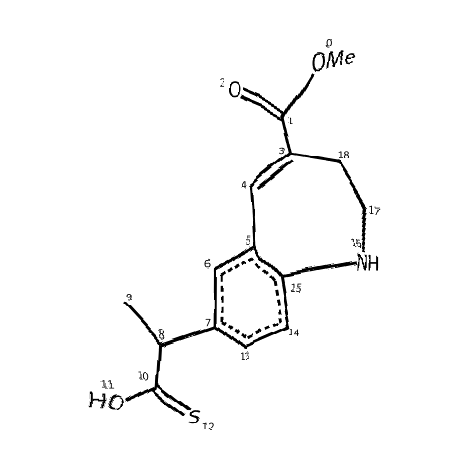 COC(=O)C1=Cc2cc(C(C)C(O)=S)ccc2NCC1